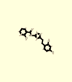 O=C(Nc1nnc(CCc2ccc(Cl)cc2Cl)s1)c1cccnc1Cl